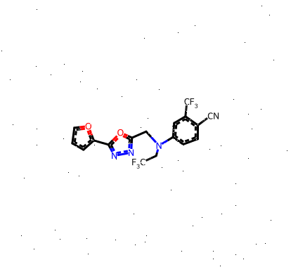 N#Cc1ccc(N(Cc2nnc(-c3ccco3)o2)CC(F)(F)F)cc1C(F)(F)F